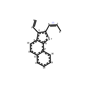 C=Cc1c(/C=C\C)sc2c1ccc1ccccc12